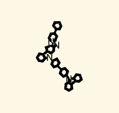 c1ccc(-c2ccn3c(c2)nc2cc4c(cc23)c2ccccc2n4-c2ccc(-c3ccc(-n4c5ccccc5c5ccccc54)cc3)cc2)cc1